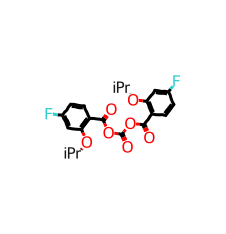 CC(C)Oc1cc(F)ccc1C(=O)OC(=O)OC(=O)c1ccc(F)cc1OC(C)C